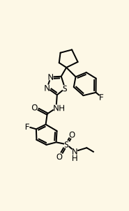 CCNS(=O)(=O)c1ccc(F)c(C(=O)Nc2nnc(C3(c4ccc(F)cc4)CCCC3)s2)c1